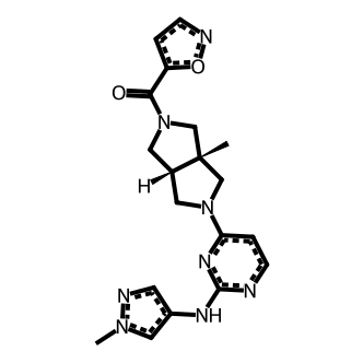 Cn1cc(Nc2nccc(N3C[C@@H]4CN(C(=O)c5ccno5)C[C@]4(C)C3)n2)cn1